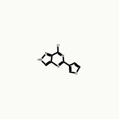 Clc1nc(-c2ccoc2)nc2c[nH]nc12